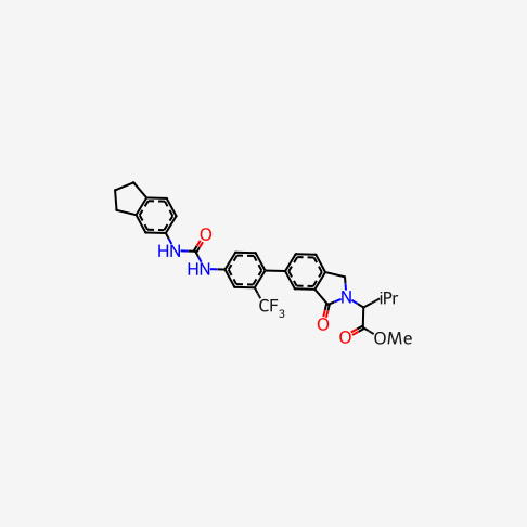 COC(=O)C(C(C)C)N1Cc2ccc(-c3ccc(NC(=O)Nc4ccc5c(c4)CCC5)cc3C(F)(F)F)cc2C1=O